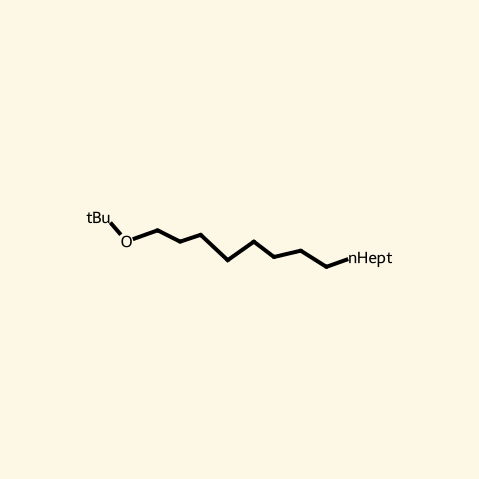 CCCCCCCCCCCCCCCOC(C)(C)C